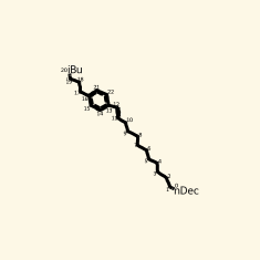 CCCCCCCCCCCCCCCCCCCCC=Cc1ccc(CC[CH]C(C)CC)cc1